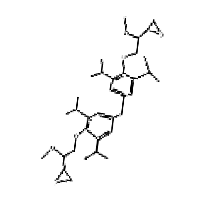 COC(COc1c(C(C)C)cc(Cc2cc(C(C)C)c(OCC(OC)C3CO3)c(C(C)C)c2)cc1C(C)C)C1CO1